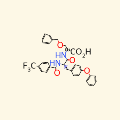 O=C(N[C@@H](COCc1ccccc1)C(=O)O)/C(=C\c1ccc(Oc2ccccc2)cc1)NC(=O)c1ccc(C(F)(F)F)cc1